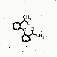 CC(Cl)c1ccccc1Oc1ccccc1C(C)Cl